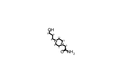 NC(=O)CN1CCN(CCCO)CC1